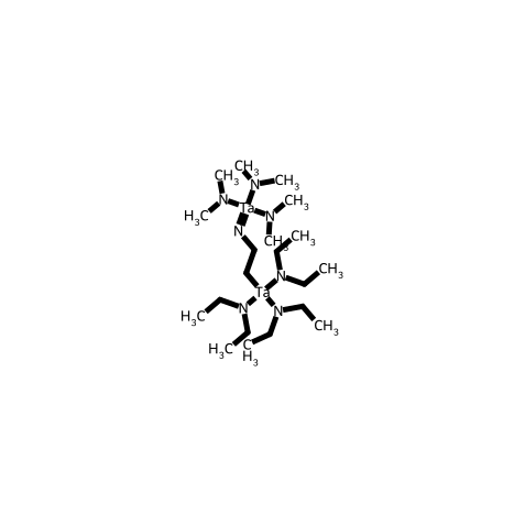 CC[N](CC)[Ta]([CH2]C[N]=[Ta]([N](C)C)([N](C)C)[N](C)C)([N](CC)CC)[N](CC)CC